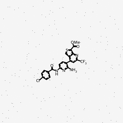 COC(=O)c1scc2c(-c3ccc(NC(=O)c4ccc(Cl)cc4)nc3N)cc(C(F)(F)F)nc12